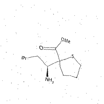 COC(=O)C1([C@@H](N)CC(C)C)CCCS1